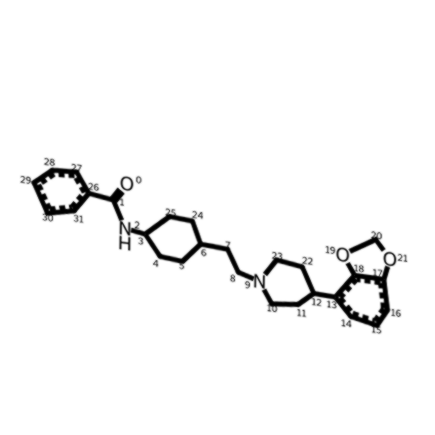 O=C(NC1CCC(CCN2CCC(c3cccc4c3OCO4)CC2)CC1)c1ccccc1